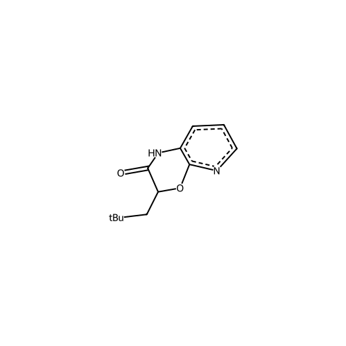 CC(C)(C)CC1Oc2ncccc2NC1=O